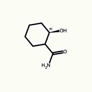 NC(=O)C1CCCC[C@H]1O